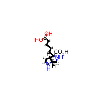 O=C(O)[C@]1(CCCCB(O)O)NC[C@@H]2NCC[C@@H]21